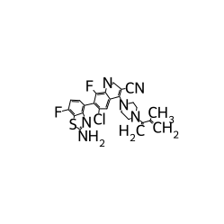 C=C(C)C(=C)N1CCN(c2c(C#N)cnc3c(F)c(-c4ccc(F)c5sc(N)nc45)c(Cl)cc23)CC1